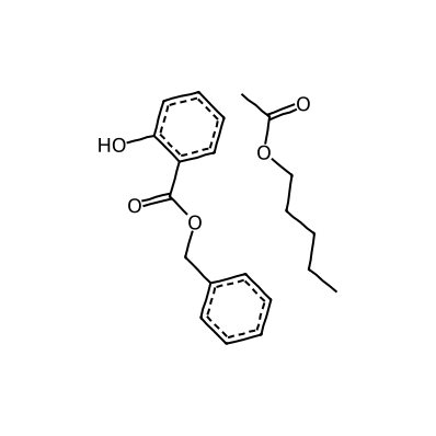 CCCCCOC(C)=O.O=C(OCc1ccccc1)c1ccccc1O